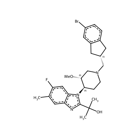 CO[C@@H]1CN(C[C@H]2Cc3ccc(Br)cc3C2)CC[C@H]1n1c(C(C)(C)O)nc2cc(C)c(F)cc21